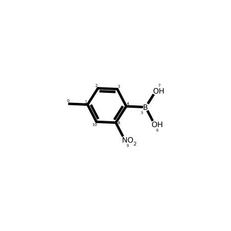 Cc1ccc(B(O)O)c([N+](=O)[O-])c1